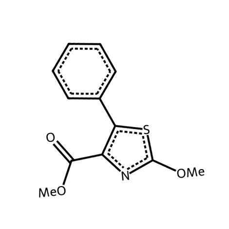 COC(=O)c1nc(OC)sc1-c1ccccc1